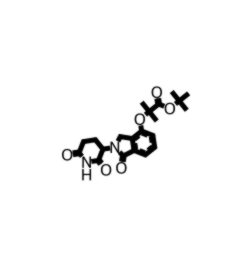 CC(C)(C)OC(=O)C(C)(C)Oc1cccc2c1CN(C1CCC(=O)NC1=O)C2=O